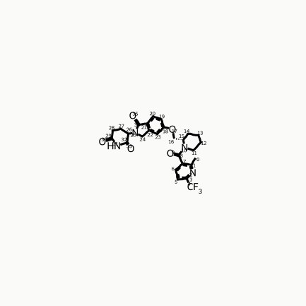 Cc1nc(C(F)(F)F)ccc1C(=O)N1CCCC[C@H]1COc1ccc2c(c1)CN(C1CCC(=O)NC1=O)C2=O